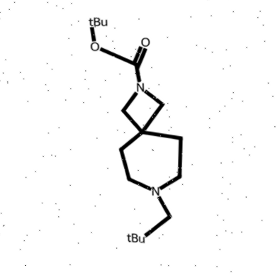 CC(C)(C)CN1CCC2(CC1)CN(C(=O)OC(C)(C)C)C2